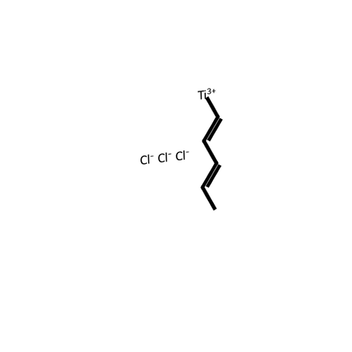 CC=CC=[CH][Ti+3].[Cl-].[Cl-].[Cl-]